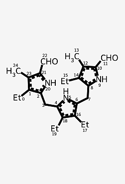 CCc1c(Cc2[nH]c(Cc3[nH]c(C=O)c(C)c3CC)c(CC)c2CC)[nH]c(C=O)c1C